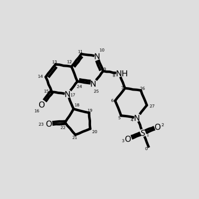 CS(=O)(=O)N1CCC(Nc2ncc3ccc(=O)n(C4CCCC4=O)c3n2)CC1